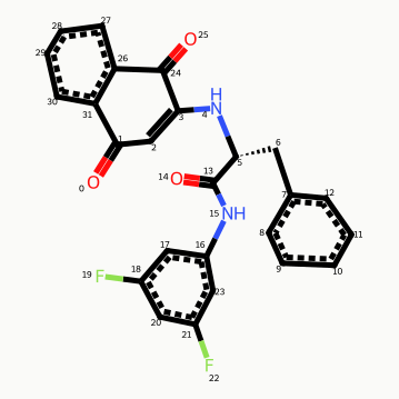 O=C1C=C(N[C@H](Cc2ccccc2)C(=O)Nc2cc(F)cc(F)c2)C(=O)c2ccccc21